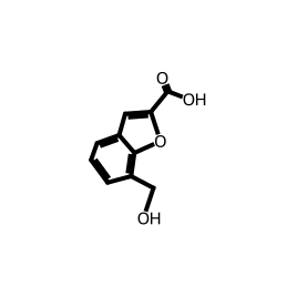 O=C(O)c1cc2cccc(CO)c2o1